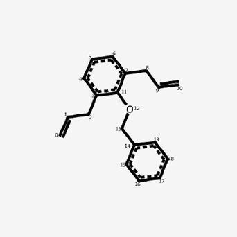 C=CCc1cccc(CC=C)c1OCc1ccccc1